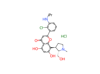 CC(C)Nc1cccc(-c2cc(=O)c3c(O)cc(O)c([C@H]4CCN(C)[C@@H]4CO)c3o2)c1Cl.Cl